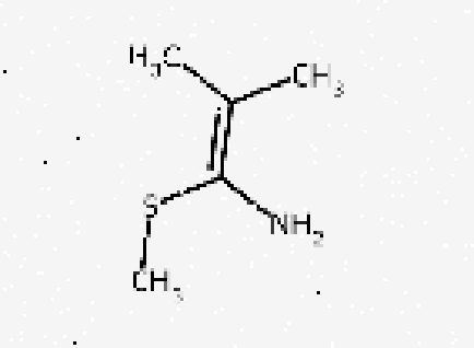 CSC(N)=C(C)C